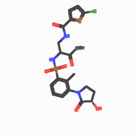 COC(=O)C(CNC(=O)c1ccc(Cl)s1)NS(=O)(=O)c1cccc(N2CC[C@H](O)C2=O)c1C